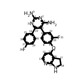 Nc1nc(N)c(-c2ccc(Oc3ccnc4c3CCN4)c(F)c2)c(-c2ccc(F)cc2)n1